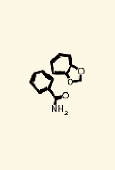 NC(=O)c1ccccc1.c1ccc2c(c1)OCO2